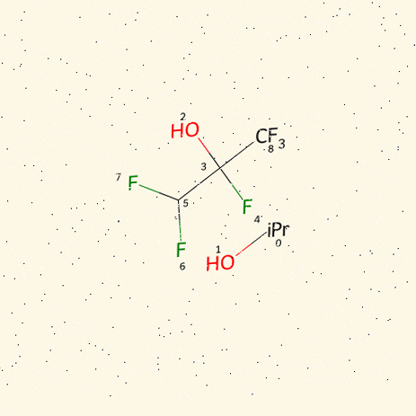 CC(C)O.OC(F)(C(F)F)C(F)(F)F